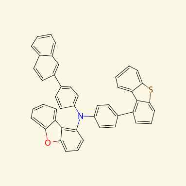 c1ccc2cc(-c3ccc(N(c4ccc(-c5cccc6sc7ccccc7c56)cc4)c4cccc5oc6ccccc6c45)cc3)ccc2c1